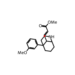 COC(=O)C=CC1C2CCCC1(c1cccc(OC)c1)CCN2